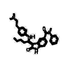 CCCCC(Nc1ccc(CCN(C)C)cc1)=C1C(=O)Nc2ccc(C(=O)N(C)c3ccccc3)cc21